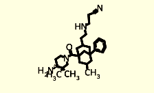 CC1CC2(C(=O)N3CC[C@H](N)C(C)(C)C3)CC(CCNCCC#N)CC(c3ccccc3)(C1)C2